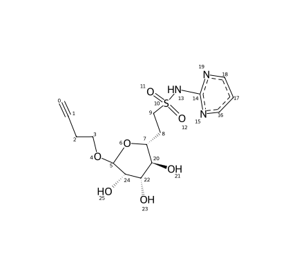 C#CCCOC1O[C@H](CCS(=O)(=O)Nc2ncccn2)[C@@H](O)[C@H](O)[C@@H]1O